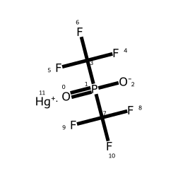 O=P([O-])(C(F)(F)F)C(F)(F)F.[Hg+]